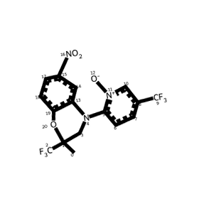 CC1(C(F)(F)F)CN(c2ccc(C(F)(F)F)c[n+]2[O-])c2cc([N+](=O)[O-])ccc2O1